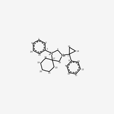 c1ccc(N2CN(C3(c4ccccc4)CC3)CC23CCCCC3)cc1